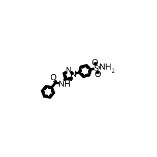 NS(=O)(=O)c1ccc(-n2cc(NC(=O)c3ccccc3)cn2)cc1